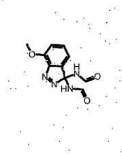 COc1cccc2c1N=NC2(NC=O)NC=O